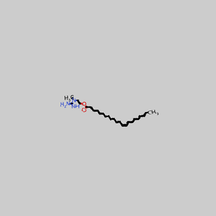 CCCCCCCC/C=C\CCCCCCCCCCCC(=O)OCCN(C)C(=N)N